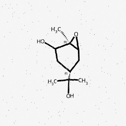 CC(C)(O)[C@@H]1CC(O)[C@@]2(C)OC2C1